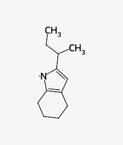 CCC(C)C1=CC2=C(CCCC2)[N]1